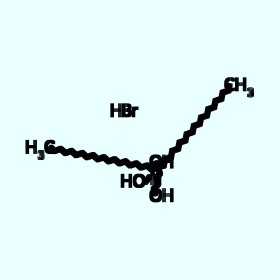 Br.CCCCCCCCCCCCCCCCCCCCC(O)(CCCCCCCCCCCCCCCCCCCC)CN(CCO)CCO